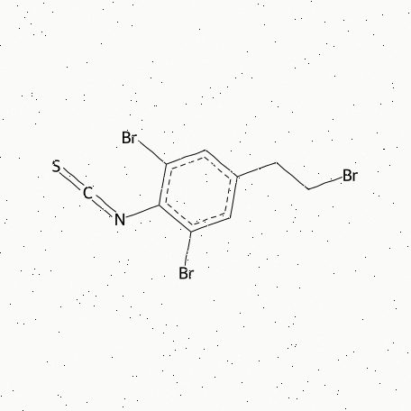 S=C=Nc1c(Br)cc(CCBr)cc1Br